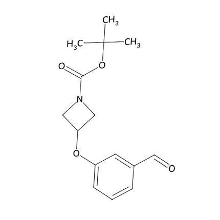 CC(C)(C)OC(=O)N1CC(Oc2cccc(C=O)c2)C1